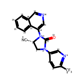 N#C[C@H]1CN(c2ccc(C(F)(F)F)nc2)C(=O)N1c1cncc2ccccc12